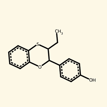 CCC1Sc2ccccc2OC1c1ccc(O)cc1